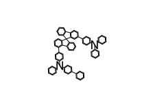 c1ccc(-c2ccc(N(c3ccccc3)c3ccc(-c4cccc5c4-c4ccccc4C54c5ccccc5-c5ccc(-c6ccc(N(c7ccccc7)c7ccccc7)cc6)cc54)cc3)cc2)cc1